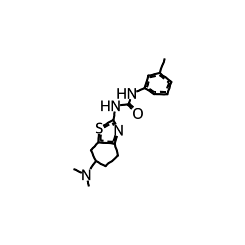 Cc1cccc(NC(=O)Nc2nc3c(s2)CC(N(C)C)CC3)c1